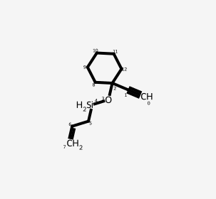 C#CC1(O[SiH2]CC=C)CCCCC1